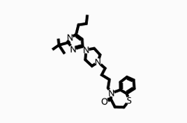 CCCc1cc(N2CCN(CCCCN3C(=O)CCSc4ccccc43)CC2)nc(C(C)(C)C)n1